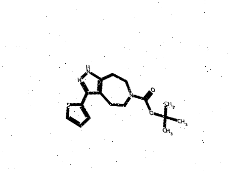 CC(C)(C)OC(=O)N1CCc2[nH]nc(-c3cccs3)c2CC1